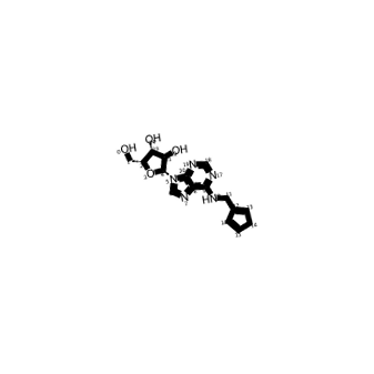 OC[C@H]1O[C@@H](n2cnc3c(NCC4=CCC=C4)ncnc32)C(O)[C@H]1O